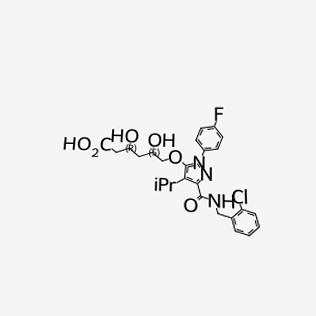 CC(C)c1c(C(=O)NCc2ccccc2Cl)nn(-c2ccc(F)cc2)c1OC[C@@H](O)C[C@@H](O)CC(=O)O